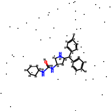 Cc1ccc(C(c2ccc(C)cc2)C2CC(NC(=O)NC3CCCCC3)CN2)cc1